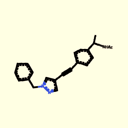 CC(=O)NC(C)c1ccc(C#Cc2cnn(Cc3ccccc3)c2)cc1